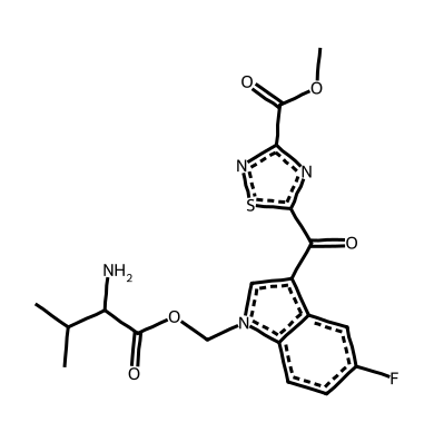 COC(=O)c1nsc(C(=O)c2cn(COC(=O)C(N)C(C)C)c3ccc(F)cc23)n1